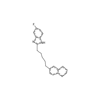 Fc1ccc2[nH]c(CCCCCc3ccc4ccccc4c3)nc2c1